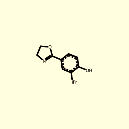 CC(C)c1cc(C2=NCCO2)ccc1O